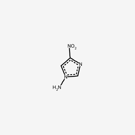 Nn1cnc([N+](=O)[O-])c1